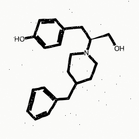 OC[C@H](Cc1ccc(O)cc1)N1CCC(Cc2ccccc2)CC1